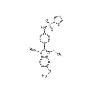 CCn1c(-c2ccc(NS(=O)(=O)c3cccs3)cc2)c(C#N)c2ccc(OC)cc21